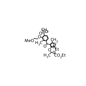 CCOC(=O)OC(C)Oc1c(C(=O)c2ccc(S(C)(=O)=O)c(OCCOC)c2C)c(C)nn1CC